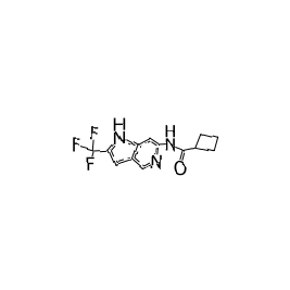 O=C(Nc1cc2[nH]c(C(F)(F)F)cc2cn1)C1CCC1